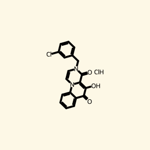 Cl.O=c1c(O)c2c(=O)n(Cc3cccc(Cl)c3)ccn2c2ccccc12